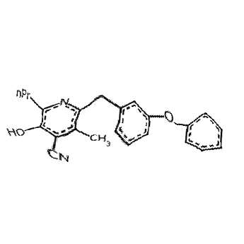 CCCc1nc(Cc2cccc(Oc3ccccc3)c2)c(C)c(C#N)c1O